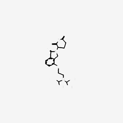 CC(C)N(CCSc1cccc2c1CN(C1CCC(=O)NC1=O)C2=O)C(C)C